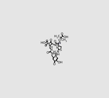 CC(C)(O/N=C(\C(=O)N[C@@H]1C(=O)N(S(=O)(=O)O)[C@@H]1CNC(=O)NCc1cc(=O)c(O)cn1O)C1CSC(N)=N1)C(=O)O